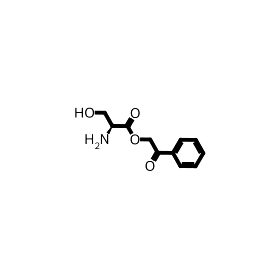 N[C@@H](CO)C(=O)OCC(=O)c1ccccc1